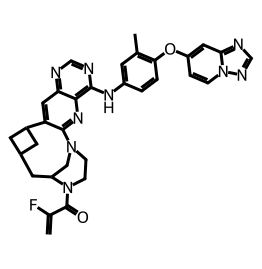 C=C(F)C(=O)N1CCN2CC1CC1CC(C1)c1cc3ncnc(Nc4ccc(Oc5ccn6ncnc6c5)c(C)c4)c3nc12